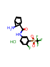 Cl.NC1C2C=CC(C2)C1C(=O)Nc1ccc(F)c(S(=O)(=O)C(F)(F)F)c1